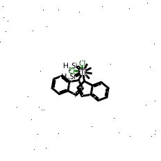 [CH3][Ti]([CH3])([CH3])([CH3])(=[SiH2])(=[SiH2])([Cl])([Cl])([CH]1C=Cc2ccccc21)[CH]1C=Cc2ccccc21